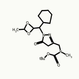 CC1OC(C(C2CCCCC2)N2N=C(CN(C)C(=O)OC(C)(C)C)CC2=O)O1